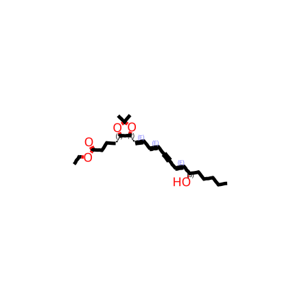 CCCCC[C@H](O)/C=C/C#C/C=C/C=C/[C@H]1OC(C)(C)O[C@H]1CCCC(=O)OCC